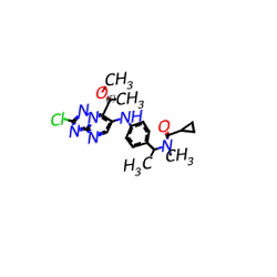 CO[C@@H](C)c1c(Nc2ccc(C(C)N(C)C(=O)C3CC3)cc2)cnc2nc(Cl)nn12